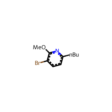 CCCCc1ccc(Br)c(OC)n1